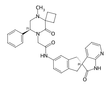 CN1C[C@H](c2ccccc2)N(CC(=O)Nc2ccc3c(c2)C[C@@]2(C3)C(=O)Nc3ncccc32)C(=O)C12CCC2